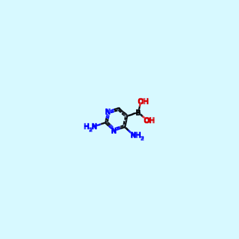 Nc1ncc(B(O)O)c(N)n1